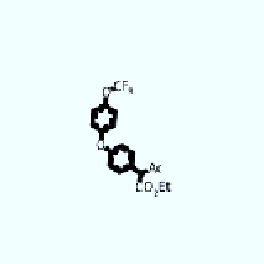 CCOC(=O)C(C(C)=O)c1ccc(Oc2ccc(OC(F)(F)F)cc2)cc1